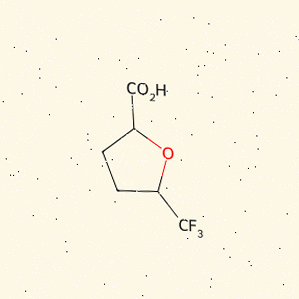 O=C(O)C1CCC(C(F)(F)F)O1